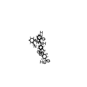 N#C[C@H]1CCCC[C@@H]1n1nc(Nc2ccc3c(c2)CN([C@H]2CC[C@H](C(=O)O)CC2)S3(=O)=O)c2c(=O)[nH]ccc21